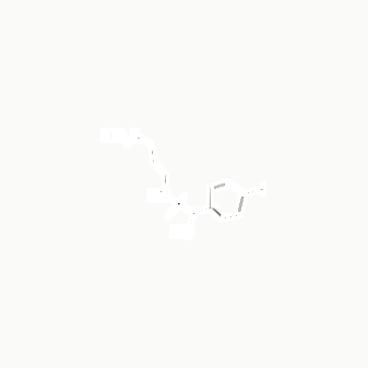 CC(C)(NCCCS(=O)(=O)O)C(O)c1ccc(I)cc1